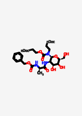 CCCCCCCCCCCCOC(=O)N(CCCCCCCCCCCC)[C@@H]1O[C@H](CO)[C@@H](O)[C@H](O)[C@H]1NC(=O)[C@H](C)NC(=O)OCc1ccccc1